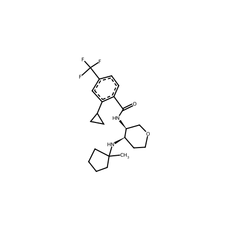 CC1(N[C@@H]2CCOC[C@@H]2NC(=O)c2ccc(C(F)(F)F)cc2C2CC2)CCCC1